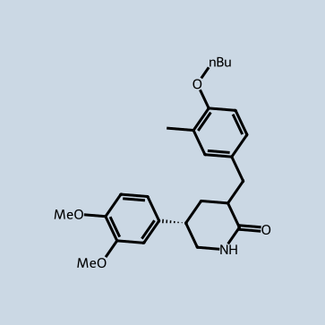 CCCCOc1ccc(CC2C[C@@H](c3ccc(OC)c(OC)c3)CNC2=O)cc1C